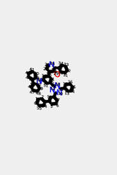 c1ccc(-c2cccc(-c3nc(-c4ccccc4)nc(-c4cc(-c5ccnc6c5oc5ccccc56)cc(-n5c6ccccc6c6ccccc65)c4)n3)c2)cc1